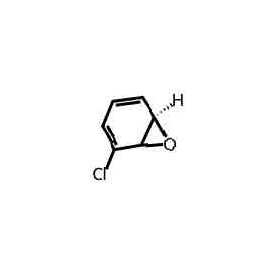 ClC1=CC=C[C@H]2OC12